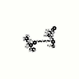 CCN(c1cc(-c2ccc(OCCCOCCOCCOc3cc(-c4scnc4C)ccc3CNC(=O)[C@@H]3C[C@@H](O)CN3C(=O)C(C(C)C)N3Cc4ccccc4C3=O)cc2)cc(C(=O)NCc2c(C)cc(C)[nH]c2=O)c1C)C1CCOCC1